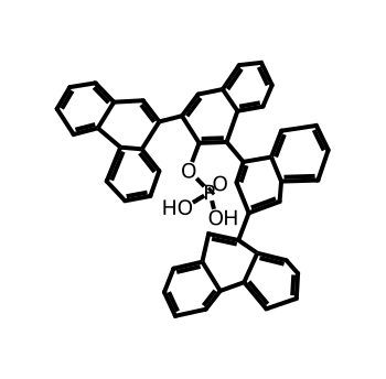 O=P(O)(O)Oc1c(-c2cc3ccccc3c3ccccc23)cc2ccccc2c1-c1cc(-c2cc3ccccc3c3ccccc23)cc2ccccc12